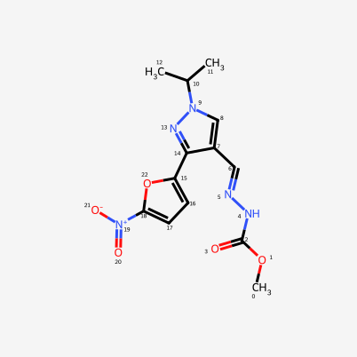 COC(=O)NN=Cc1cn(C(C)C)nc1-c1ccc([N+](=O)[O-])o1